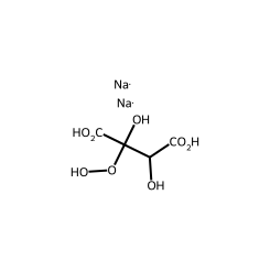 O=C(O)C(O)C(O)(OO)C(=O)O.[Na].[Na]